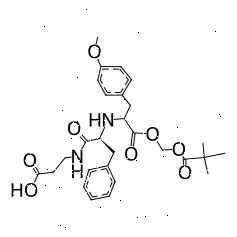 COc1ccc(CC(N[C@@H](Cc2ccccc2)C(=O)NCCC(=O)O)C(=O)OCOC(=O)C(C)(C)C)cc1